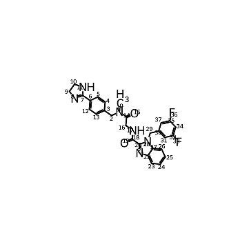 CN(Cc1ccc(C2=NCCN2)cc1)C(=O)CNC(=O)c1nc2ccccc2n1Cc1cc(F)cc(F)c1